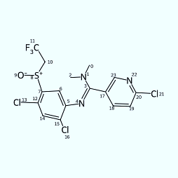 CN(C)/C(=N\c1cc([S+]([O-])CC(F)(F)F)c(Cl)cc1Cl)c1ccc(Cl)nc1